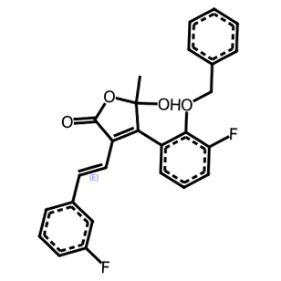 CC1(O)OC(=O)C(/C=C/c2cccc(F)c2)=C1c1cccc(F)c1OCc1ccccc1